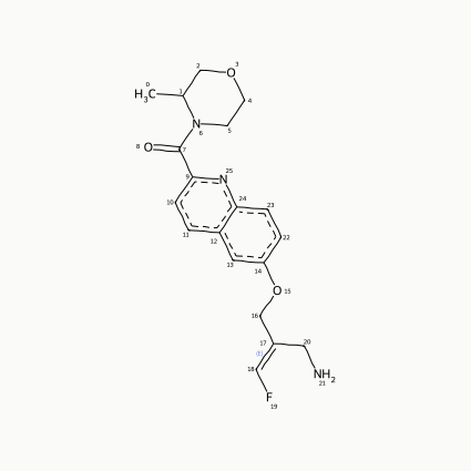 CC1COCCN1C(=O)c1ccc2cc(OC/C(=C/F)CN)ccc2n1